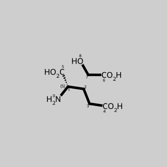 N[C@@H](CCC(=O)O)C(=O)O.O=C(O)CO